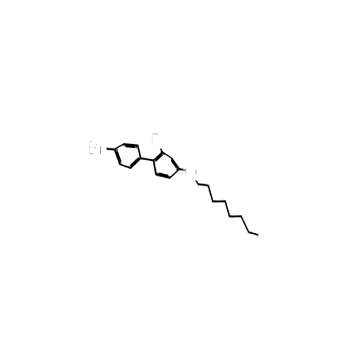 CCCCCCCCOc1ccc(-c2ccc(Br)cc2)c(F)c1